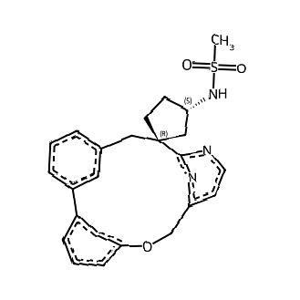 CS(=O)(=O)N[C@H]1CC[C@@]2(Cc3cccc(c3)-c3cccc(c3)OCc3ccnc2n3)C1